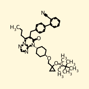 CCCc1c(Cc2ccc(-c3ccccc3C#N)cc2)c(=O)n([C@H]2CC[C@H](OCC3(O[Si](C)(C)C(C)(C)C)CC3)CC2)c2ncnn12